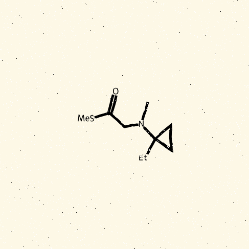 CCC1(N(C)CC(=O)SC)CC1